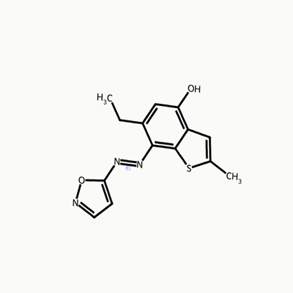 CCc1cc(O)c2cc(C)sc2c1/N=N/c1ccno1